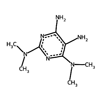 CN(C)c1nc(N)c(N)c(N(C)C)n1